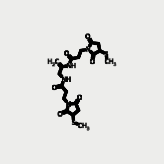 C=C(CNC(=O)CCN1C(=O)CC(SC)C1=O)NC(=O)CCN1C(=O)CC(SC)C1=O